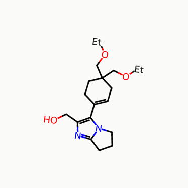 CCOCC1(COCC)CC=C(c2c(CO)nc3n2CCC3)CC1